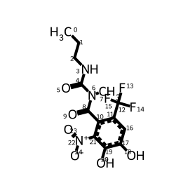 CCCNC(=O)N(C)C(=O)c1c(C(F)(F)F)cc(O)c(O)c1[N+](=O)[O-]